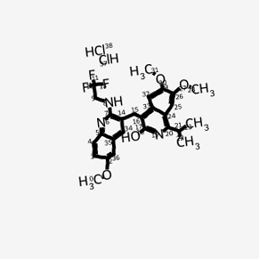 COc1ccc2nc(NCC(F)(F)F)c(Cc3c(O)nc(C(C)C)c4cc(OC)c(OC)cc34)cc2c1.Cl.Cl